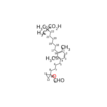 Cc1ccc(CCCCC2(OC=O)CC2)c(C)c1CCCCCCC(C)(C)C(=O)O